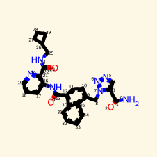 NC(=O)c1cnnn1Cc1ccc(C(=O)Nc2cccnc2C(=O)NCC2CCC2)c2ccccc12